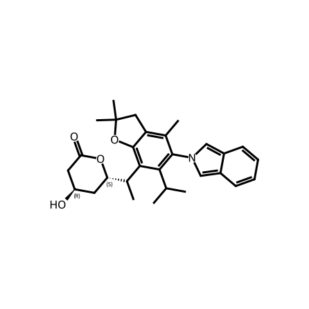 Cc1c2c(c(C(C)[C@@H]3C[C@@H](O)CC(=O)O3)c(C(C)C)c1-n1cc3ccccc3c1)OC(C)(C)C2